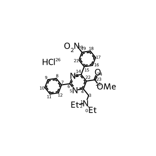 CCN(CC)Cc1nc(-c2ccccc2)nc(-c2cccc([N+](=O)[O-])c2)c1C(=O)OC.Cl